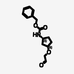 O=CCO[C@@H]1CC[C@H](NC(=O)OCc2ccccc2)C1